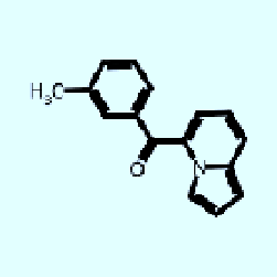 Cc1cccc(C(=O)c2cccc3cccn23)c1